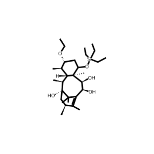 CCO[C@@H]1CC(O[Si](CC)(CC)CC)[C@]2(C)[C@@H]([C@H]1C)[C@H](C)[C@]1(O)C[C@H](C)C(C)=C([C@H](O)[C@@H]2O)C1(C)C